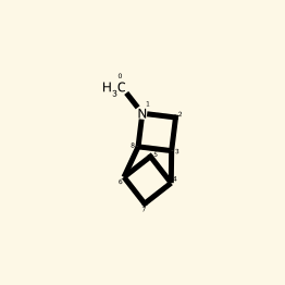 CN1CC2C3CC(C3)C21